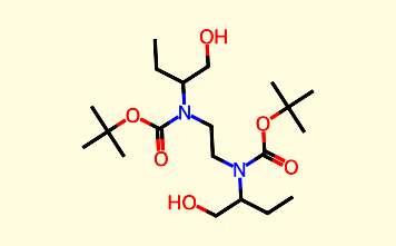 CCC(CO)N(CCN(C(=O)OC(C)(C)C)C(CC)CO)C(=O)OC(C)(C)C